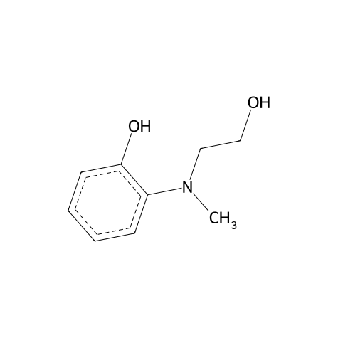 CN(CCO)c1ccccc1O